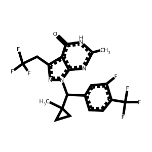 Cc1nc2c(c(CC(F)(F)F)nn2C(c2ccc(C(F)(F)F)c(F)c2)C2(C)CC2)c(=O)[nH]1